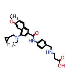 CCN(CC1CC1)c1cc(C(=O)Nc2ccc(CNCCC(=O)O)cc2)cc2ccc(OC)cc12